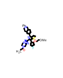 C=CC(=O)N1CCn2nc(-c3nc(-c4ccc5c(c4)CCN(C(C)C)C5)c4ccsc4c3-c3ccc(F)cc3OCCOC)nc2C1